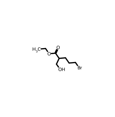 CCOC(=O)C(CO)CCCBr